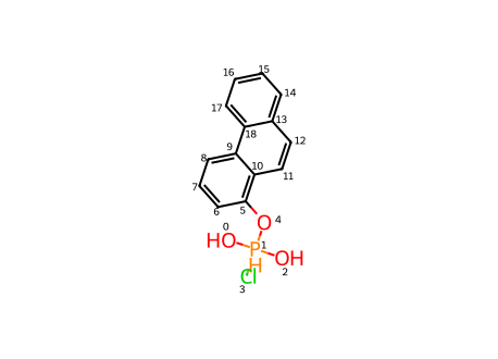 O[PH](O)(Cl)Oc1cccc2c1ccc1ccccc12